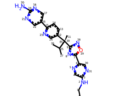 CCNc1cnc(-c2nc([C@@](C)(c3ccc(-c4cnc(N)nc4)nc3)C(C)C)no2)cn1